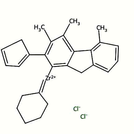 Cc1cccc2c1-c1c(C)c(C)c(C3=CC=CC3)[c]([Zr+2]=[C]3CCCCC3)c1C2.[Cl-].[Cl-]